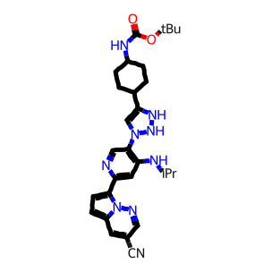 CC(C)Nc1cc(-c2ccc3cc(C#N)cnn23)ncc1N1C=C(C2CCC(NC(=O)OC(C)(C)C)CC2)NN1